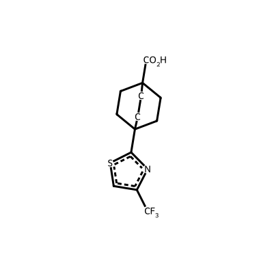 O=C(O)C12CCC(c3nc(C(F)(F)F)cs3)(CC1)CC2